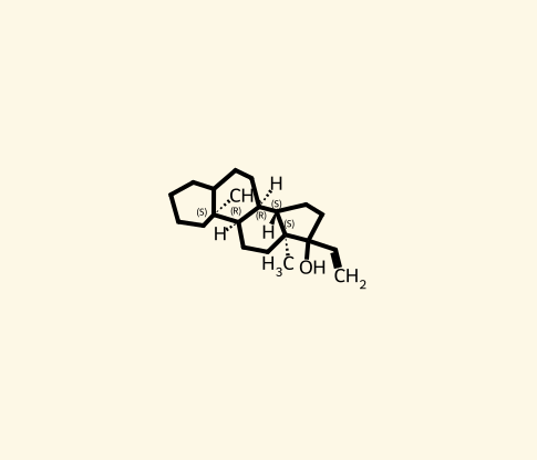 C=CC1(O)CC[C@H]2[C@@H]3CCC4CCCC[C@]4(C)[C@@H]3CC[C@@]21C